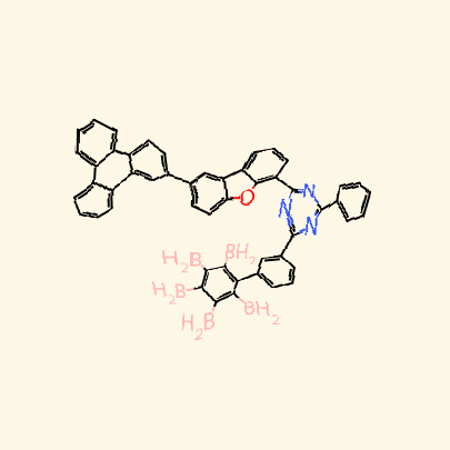 Bc1c(B)c(B)c(-c2cccc(-c3nc(-c4ccccc4)nc(-c4cccc5c4oc4ccc(-c6ccc7c8ccccc8c8ccccc8c7c6)cc45)n3)c2)c(B)c1B